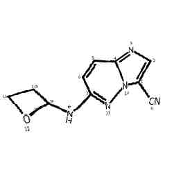 N#Cc1cnc2ccc(NC3CCO3)nn12